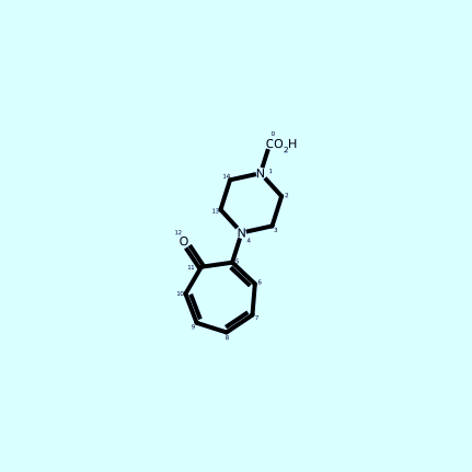 O=C(O)N1CCN(c2cccccc2=O)CC1